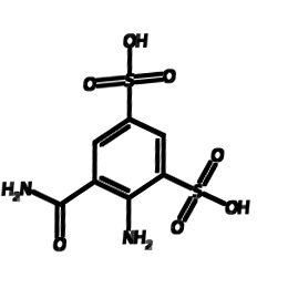 NC(=O)c1cc(S(=O)(=O)O)cc(S(=O)(=O)O)c1N